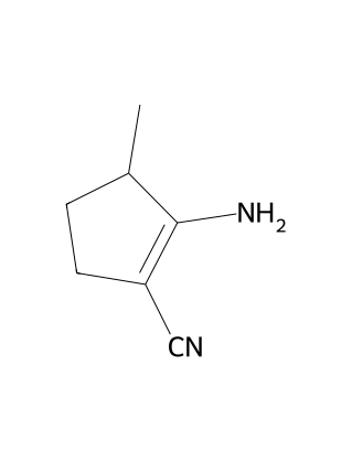 CC1CCC(C#N)=C1N